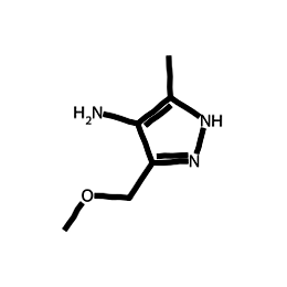 COCc1n[nH]c(C)c1N